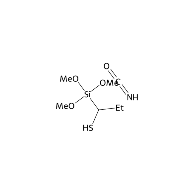 CCC(S)[Si](OC)(OC)OC.N=C=O